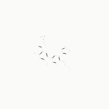 Cc1cc(F)c(C(=O)NC2CC2)cc1-c1cnc(NCCO)c(-c2cn[nH]c2)c1